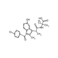 Cc1c(C(C)C(=O)NC(C)(C)C(=O)O)c2cc(O)ccc2n1C(=O)c1ccc(Cl)cc1